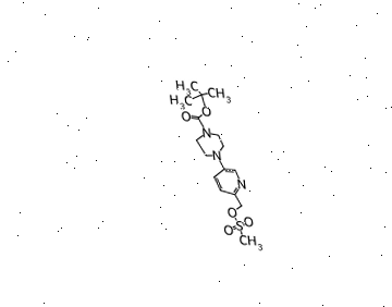 CC(C)(C)OC(=O)N1CCN(c2ccc(COS(C)(=O)=O)nc2)CC1